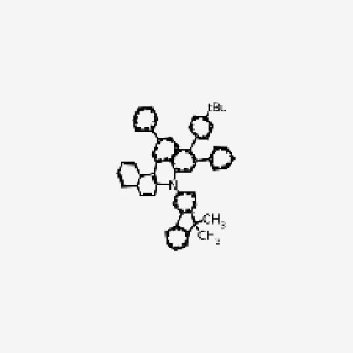 CC(C)(C)c1ccc(-c2ccc(N(C3=C(c4cccc(-c5ccccc5)c4)C4C=CC=CC4C=C3)c3ccc4c(c3)-c3ccccc3C4(C)C)cc2-c2ccccc2)cc1